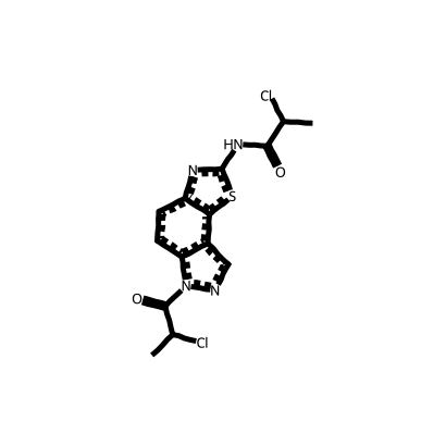 CC(Cl)C(=O)Nc1nc2ccc3c(cnn3C(=O)C(C)Cl)c2s1